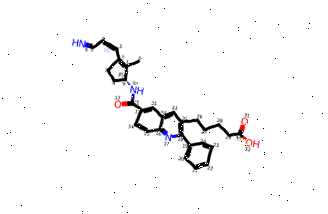 CC1=C(/C=C\C=N)CC[C@H]1NC(=O)c1ccc2nc(-c3ccccc3)c(CCCCC(=O)O)cc2c1